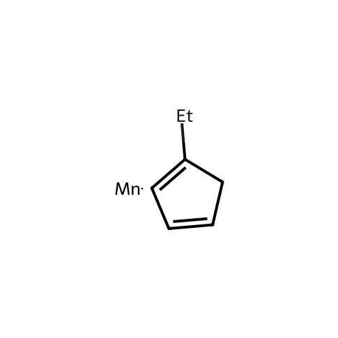 CCC1=CC=CC1.[Mn]